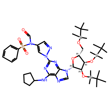 CC(C)(C)[Si](C)(C)OC[C@H]1O[C@@H](n2cnc3c(NC4CCCC4)nc(-n4cc(N(C=O)S(=O)(=O)c5ccccc5)cn4)nc32)[C@H](O[Si](C)(C)C(C)(C)C)[C@@H]1O[Si](C)(C)C(C)(C)C